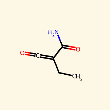 CCC(=C=O)C(N)=O